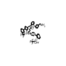 NCc1cccc(Oc2ccccc2N(Cc2ccc(-c3cccc(C(F)(F)F)c3)cc2)C(=O)CCC(=O)NN2CCN(c3ccccc3)CC2)c1.O=C(O)C(F)(F)F